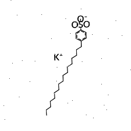 CCCCCCCCCCCCCCCCCc1ccc(S(=O)(=O)[O-])cc1.[K+]